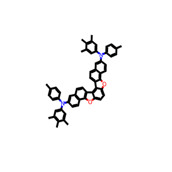 Cc1ccc(N(c2cc(C)c(C)c(C)c2)c2ccc3c(ccc4c3oc3ccc5oc6c7ccc(N(c8ccc(C)cc8)c8cc(C)c(C)c(C)c8)cc7ccc6c5c34)c2)cc1